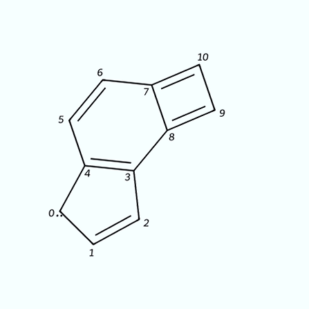 [C]1C=Cc2c1ccc1c2=CC=1